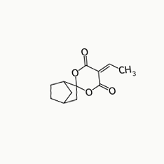 CC=C1C(=O)OC2(CC3CCC2C3)OC1=O